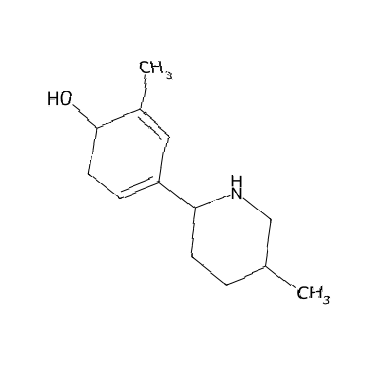 CC1=CC(C2CCC(C)CN2)=CCC1O